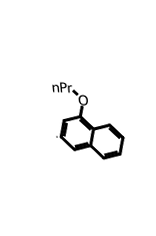 CCCOc1c[c]cc2ccccc12